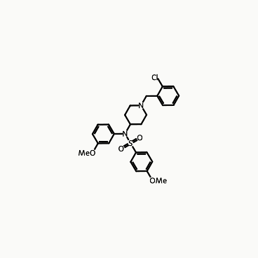 COc1ccc(S(=O)(=O)N(c2cccc(OC)c2)C2CCN(Cc3ccccc3Cl)CC2)cc1